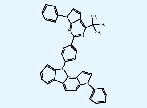 CC(C)(C)c1nc(-c2ccc(-n3c4ccccc4c4ccc5c(ccn5-c5ccccc5)c43)cc2)nc2c1ccn2-c1ccccc1